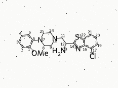 COc1ccccc1N1CCN(CC(N)c2nc3c(Cl)cccc3s2)CC1